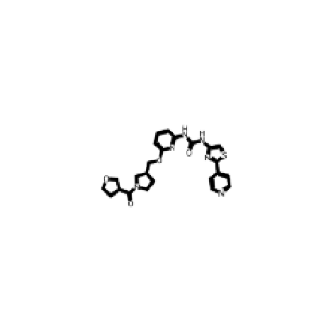 O=C(Nc1cccc(OCC2CCN(C(=O)C3CCOC3)C2)n1)Nc1csc(-c2ccncc2)n1